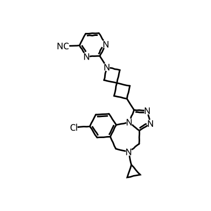 N#Cc1ccnc(N2CC3(CC(c4nnc5n4-c4ccc(Cl)cc4CN(C4CC4)C5)C3)C2)n1